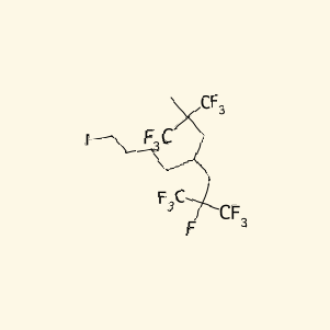 CC(CC(CCCCI)CC(F)(C(F)(F)F)C(F)(F)F)(C(F)(F)F)C(F)(F)F